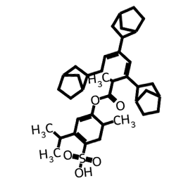 CC(C)C1=C(S(=O)(=O)O)CC(C)C(OC(=O)C(C)/C(=C\C(=C/CC2CC3CCC2C3)C2CC3CCC2C3)C2CC3CCC2C3)=C1